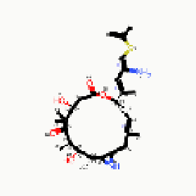 C=C(C)S/C=C(N)/C=C(\C)[C@@H]1C/C=C(/C)CC2NC2[C@H](C)[C@H](O)[C@@H](C)C(=O)C(C)(C)[C@@H](O)CC(=O)O1